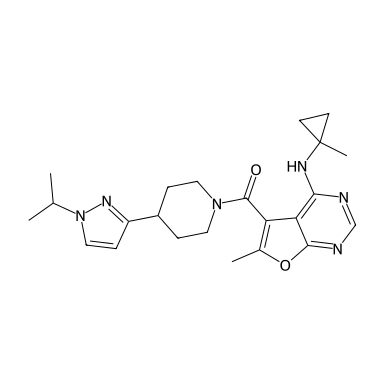 Cc1oc2ncnc(NC3(C)CC3)c2c1C(=O)N1CCC(c2ccn(C(C)C)n2)CC1